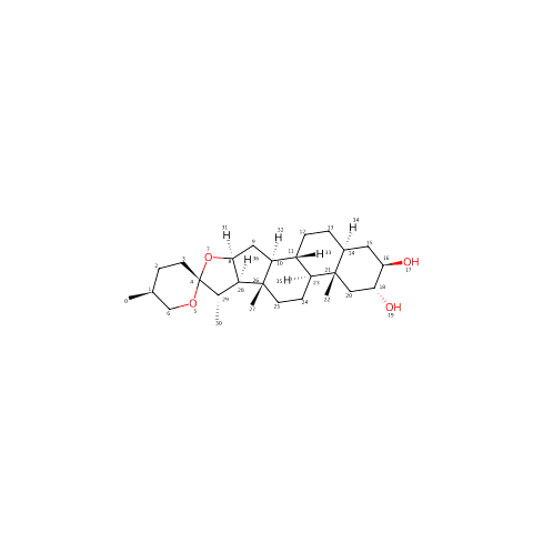 C[C@H]1CC[C@@]2(OC1)O[C@H]1C[C@H]3[C@@H]4CC[C@H]5C[C@@H](O)[C@H](O)C[C@]5(C)[C@H]4CC[C@]3(C)[C@H]1[C@@H]2C